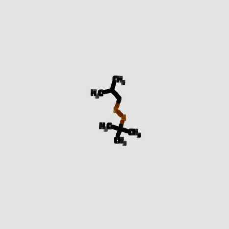 CC(C)CSSC(C)(C)C